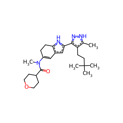 Cc1[nH]nc(-c2cc3c([nH]2)CCC(N(C)C(=O)C2CCOCC2)=C3)c1CCC(C)(C)C